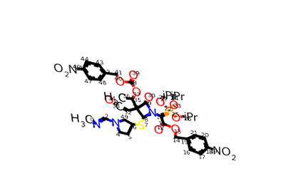 CN=CN1CCC(SC2N(C(C(=O)OCc3ccc([N+](=O)[O-])cc3)=P(OC(C)C)(OC(C)C)OC(C)C)C(=O)C2(C=C=O)C(C)OC(=O)OCc2ccc([N+](=O)[O-])cc2)C1